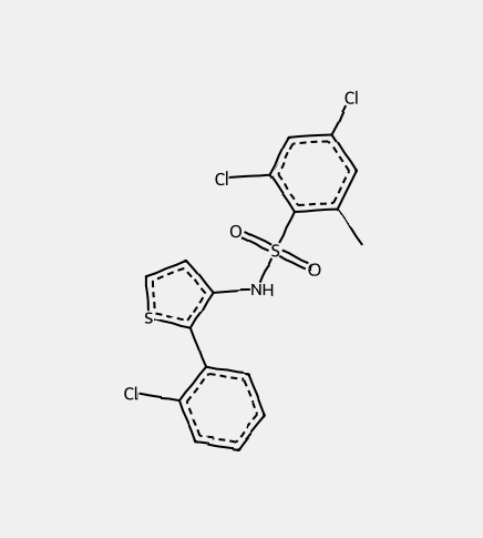 Cc1cc(Cl)cc(Cl)c1S(=O)(=O)Nc1ccsc1-c1ccccc1Cl